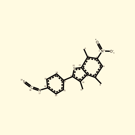 Cc1c([N+](=O)[O-])cc(C)c2c(C)c(-c3ccc(N=C=S)cc3)sc12